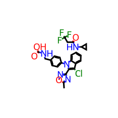 Cc1nc(-c2c(Cl)c3ccccc3n2-c2ccc(CNC(=O)O)cc2)no1.O=C(CC(F)(F)F)NC1CC1